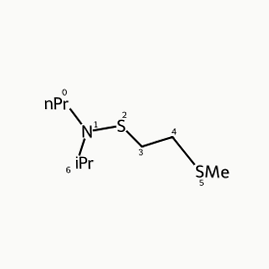 CCCN(SCCSC)C(C)C